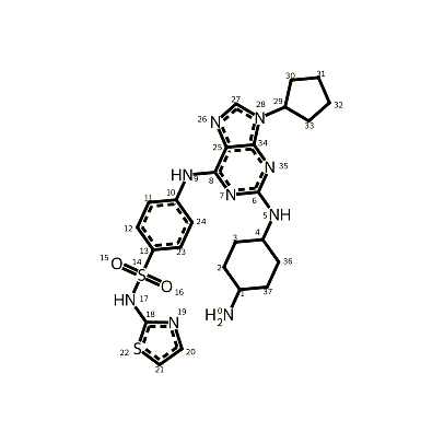 NC1CCC(Nc2nc(Nc3ccc(S(=O)(=O)Nc4nccs4)cc3)c3ncn(C4CCCC4)c3n2)CC1